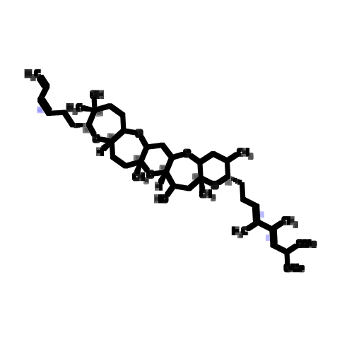 C=C/C=C\CC[C@H]1O[C@H]2CC[C@@]3(C)O[C@H]4C(O)C[C@@]5(C)O[C@@H](CC/C=C(C)/C(C)=C/C(OC)OC)C(C)CC5OC4CC3OC2CC[C@@]1(C)O